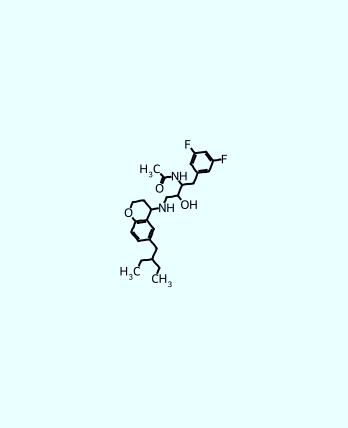 CCC(CC)Cc1ccc2c(c1)C(NCC(O)C(Cc1cc(F)cc(F)c1)NC(C)=O)CCO2